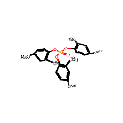 COc1ccc(OP(=O)(Oc2ccc(OC)cc2C(C)(C)C)Oc2ccc(OC)cc2C(C)(C)C)c(C(C)(C)C)c1